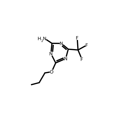 CCCOc1nc(N)nc(C(F)(F)F)n1